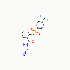 N#CCNC(=O)C1CCCCC1CS(=O)(=O)c1ccc(C(F)(F)F)cc1